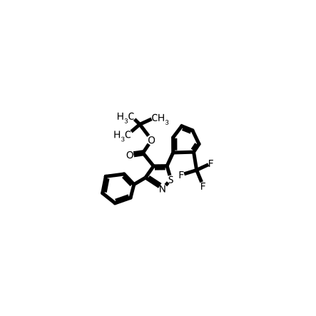 CC(C)(C)OC(=O)c1c(-c2ccccc2)nsc1-c1ccccc1C(F)(F)F